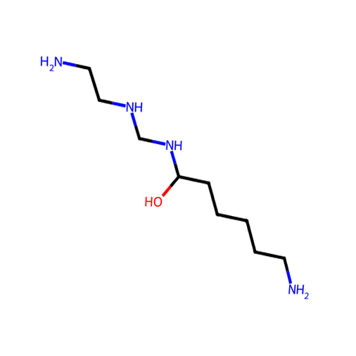 NCCCCCC(O)NCNCCN